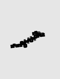 CCCCCOC(=O)CCCOCCOCC(CC)CCCC